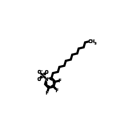 CCCCCCCCCCCCc1c(F)c(F)c(F)c[n+]1S(=O)(=O)[O-]